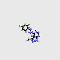 CCc1nn(C)c2ncnc(NCc3ccc(F)cc3)c12